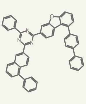 c1ccc(-c2ccc(-c3cccc4oc5cc(-c6nc(-c7ccccc7)nc(-c7ccc8c(-c9ccccc9)cccc8c7)n6)ccc5c34)cc2)cc1